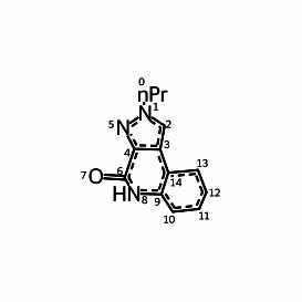 CCCn1cc2c(n1)c(=O)[nH]c1ccccc12